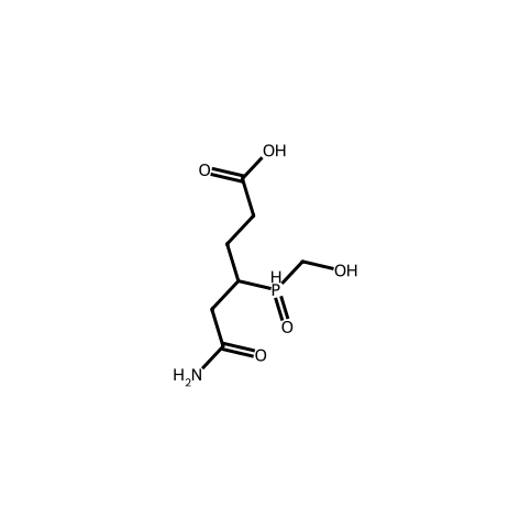 NC(=O)CC(CCC(=O)O)[PH](=O)CO